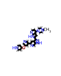 CN1CCN(c2ccnc3[nH]c(-c4n[nH]c5cnc(-c6cncc(OC7CCNCC7)c6)cc45)cc23)CC1